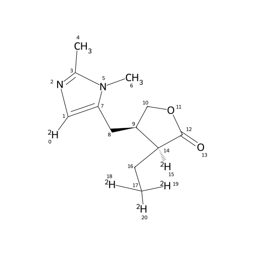 [2H]c1nc(C)n(C)c1C[C@H]1COC(=O)[C@@]1([2H])CC([2H])([2H])[2H]